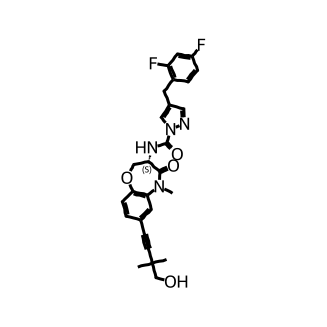 CN1C(=O)[C@@H](NC(=O)n2cc(Cc3ccc(F)cc3F)cn2)COc2ccc(C#CC(C)(C)CO)cc21